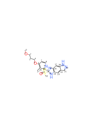 COCCCOc1ccnc([SH](C)(=O)c2nc3cc4[nH]ncc4cc3[nH]2)c1C